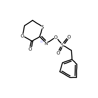 O=C1OCCS/C1=N\OS(=O)(=O)Cc1ccccc1